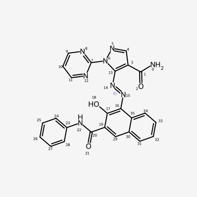 NC(=O)c1cnn(-c2ncccn2)c1/N=N/c1c(O)c(C(=O)Nc2ccccc2)cc2ccccc12